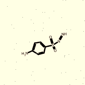 N=NS(=O)(=O)c1ccc(N)cc1